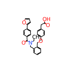 CCN(Cc1ccccc1COc1ccc(CC(=O)O)cc1)C(=O)c1ccc(-c2ccco2)cc1